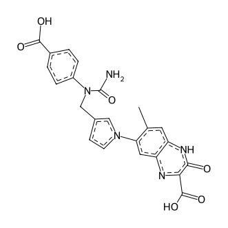 Cc1cc2[nH]c(=O)c(C(=O)O)nc2cc1-n1ccc(CN(C(N)=O)c2ccc(C(=O)O)cc2)c1